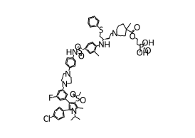 Cc1cc(S(=O)(=O)Nc2ccc(N3CCN(c4cc(F)cc(-c5c(S(C)(=O)=O)c(C)n(C(C)C)c5-c5ccc(Cl)cc5)c4)CC3)cc2)ccc1N[C@H](CCN1CCC(C)(C(=O)OCCP(=O)(O)O)CC1)CSc1ccccc1